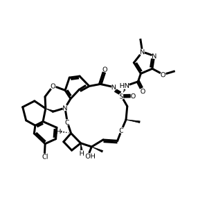 COc1nn(C)cc1C(=O)N[S@@]1(=O)=NC(=O)c2ccc3c(c2)N(C[C@@H]2CC[C@H]2[C@@](C)(O)/C=C/C[C@H](C)C1)C[C@@]1(CCCc2cc(Cl)ccc21)CO3